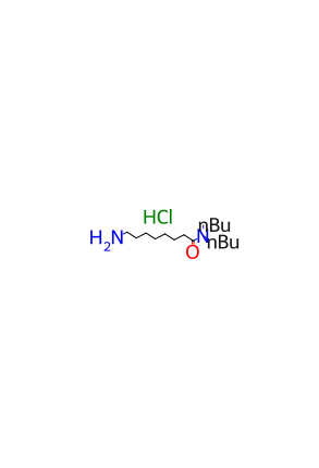 CCCCN(CCCC)C(=O)CCCCCCCN.Cl